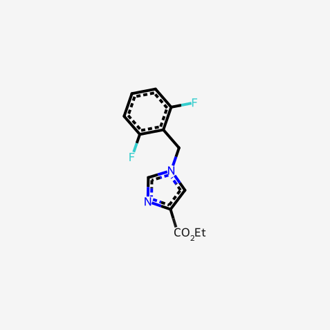 CCOC(=O)c1cn(Cc2c(F)cccc2F)cn1